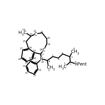 CCCCCC(C)C(C)CCCC(C)N(c1ccccc1)C1CCCCCC(C)Cc2ccccc21